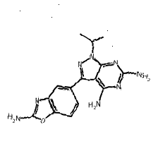 CC(C)n1nc(-c2ccc3oc(N)nc3c2)c2c(N)nc(N)nc21